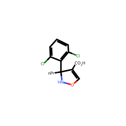 CCCC1(c2c(Cl)cccc2Cl)NOC=C1C(=O)O